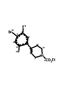 CCOC(=O)N1CC=C(c2cc(F)c(Br)cc2F)CC1